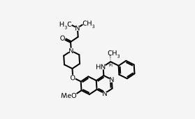 COc1cc2ncnc(N[C@H](C)c3ccccc3)c2cc1OC1CCN(C(=O)CN(C)C)CC1